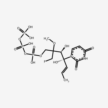 C/C=C/[C@@](O)([C@H](O)C(CF)(COP(=O)(O)OP(=O)(O)OP(=O)(O)O)OC)n1ccc(=O)[nH]c1=O